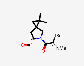 CN[C@H](C(=O)N1CC2(C[C@H]1CO)CC2(C)C)C(C)(C)C